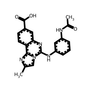 CC(=O)Nc1cccc(Nc2nc3cc(C(=O)O)ccc3c3nc(C)cn23)c1